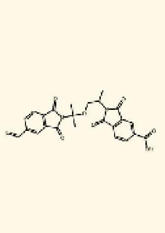 CC(COC(C)(C)N1C(=O)c2ccc(C=O)cc2C1=O)N1C(=O)c2ccc(C(=O)O)cc2C1=O